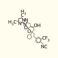 [C-]#[N+]Cc1ccc(CCC2(C3CCCC3)CC(O)=C(Cc3nc4nc(C)cc(C)n4n3)C(=O)O2)cc1C(F)(F)F